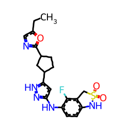 CCc1cnc(C2CCC(c3cc(Nc4ccc5c(c4F)CS(=O)(=O)N5)n[nH]3)C2)o1